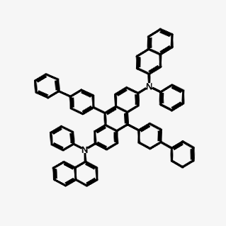 C1=CCCC(C2=CC=C(c3c4cc(N(c5ccccc5)c5ccc6ccccc6c5)ccc4c(-c4ccc(-c5ccccc5)cc4)c4cc(N(c5ccccc5)c5cccc6ccccc56)ccc34)CC2)=C1